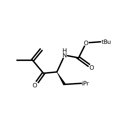 C=C(C)C(=O)[C@H](CC(C)C)NC(=O)OC(C)(C)C